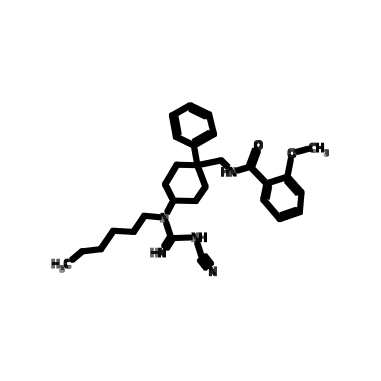 CCCCCCN(C(=N)NC#N)C1CCC(CNC(=O)c2ccccc2OC)(c2ccccc2)CC1